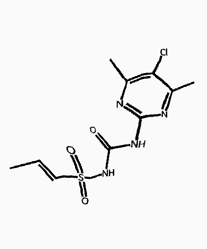 CC=CS(=O)(=O)NC(=O)Nc1nc(C)c(Cl)c(C)n1